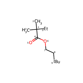 CCC(C)(C)C(=O)OCCC(C)(C)C